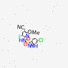 COc1nc(NS(=O)(=O)c2n[nH]c3cc(Cl)ccc23)c(F)cc1CC#N